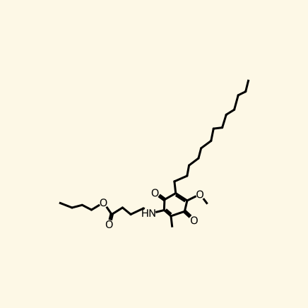 CCCCCCCCCCCCCC1=C(OC)C(=O)C(C)=C(NCCCC(=O)OCCCC)C1=O